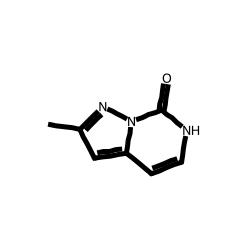 Cc1cc2cc[nH]c(=O)n2n1